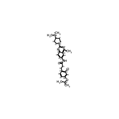 Cc1nc(N2CCC(N(C)C)CC2)nc2ccc(NC(=O)CCc3ccc(OC(C)C)cc3Cl)cc12